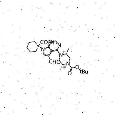 C[C@@H]1CN(c2ncnc3c2c(C=O)cn3C2(C(=O)O)CCCCC2)[C@@H](C)CN1C(=O)OC(C)(C)C